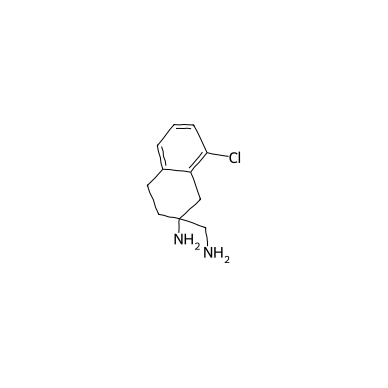 NCC1(N)CCc2cccc(Cl)c2C1